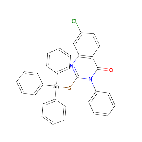 O=c1c2ccc(Cl)cc2nc([S][Sn]([c]2ccccc2)([c]2ccccc2)[c]2ccccc2)n1-c1ccccc1